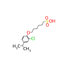 CC(C)c1ccc(OCCCCCCS(=O)(=O)O)c(Cl)c1